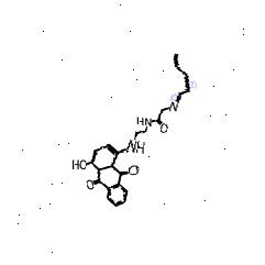 C=C/C=C\C=N\CC(=O)NCCNC1=CC=C(O)C2C(=O)c3ccccc3C(=O)C12